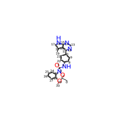 CCON(C(=O)Nc1ccc(-c2ncnc3[nH]cc(C)c23)cc1)c1ccccc1OC